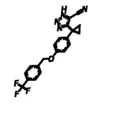 N#Cc1[nH]nnc1C1(c2ccc(OCc3ccc(C(F)(F)F)cc3)cc2)CC1